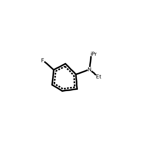 CCN(c1cccc(F)c1)C(C)C